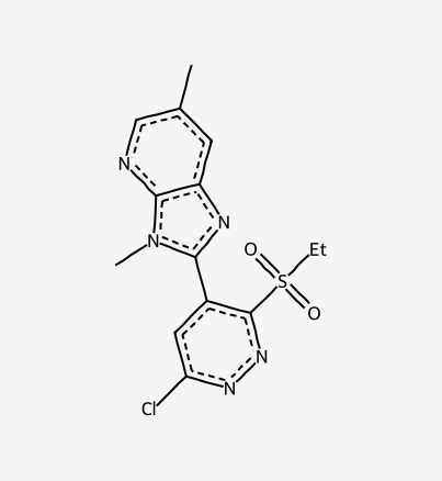 CCS(=O)(=O)c1nnc(Cl)cc1-c1nc2cc(C)cnc2n1C